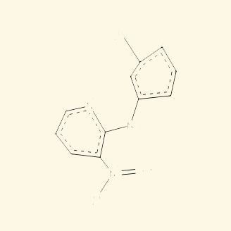 Bc1cccc(Nc2ncccc2[N+](=O)[O-])c1